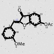 COc1cccc(/C=C2\Oc3cc(OC(C)=O)ccc3C2=O)c1